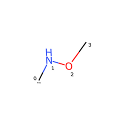 [CH]NOC